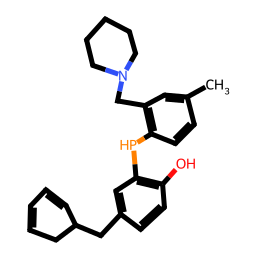 Cc1ccc(Pc2cc(CC3C=CC=CC3)ccc2O)c(CN2CCCCC2)c1